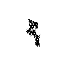 COc1cccc(OC)c1-c1ccc(CC(NC(=O)c2c(F)cc(NS(=O)(=O)c3ccc(-n4cncn4)cc3)cc2F)C(=O)O)c2c1CN(C(C)=O)CC2